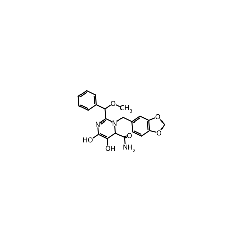 COC(C1=NC(O)=C(O)C(C(N)=O)N1Cc1ccc2c(c1)OCO2)c1ccccc1